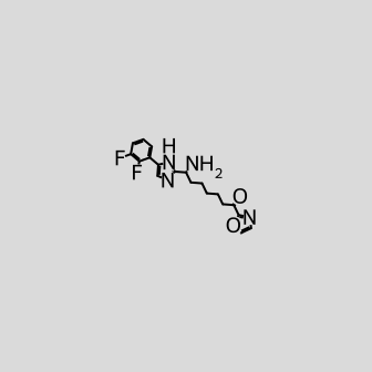 NC(CCCCCC(=O)c1ncco1)c1ncc(-c2cccc(F)c2F)[nH]1